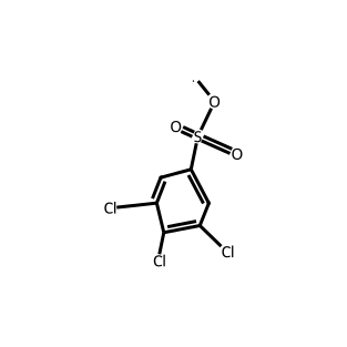 [CH2]OS(=O)(=O)c1cc(Cl)c(Cl)c(Cl)c1